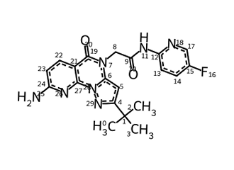 CC(C)(C)c1cc2n(CC(=O)Nc3ccc(F)cn3)c(=O)c3ccc(N)nc3n2n1